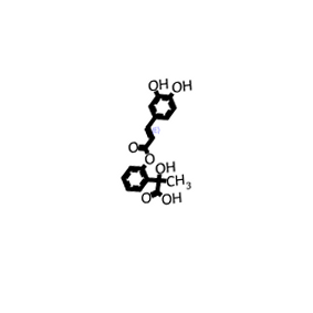 CC(O)(C(=O)O)c1ccccc1OC(=O)/C=C/c1ccc(O)c(O)c1